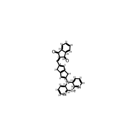 O=C1C(=CC2=CC3=C(C=C(N4c5cccnc5[Te]c5ncccc54)C3)C2)C(=O)c2ccccc21